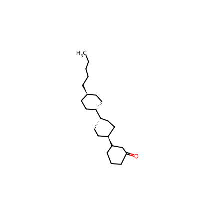 CCCCC[C@H]1CC[C@H]([C@H]2CC[C@H](C3CCCC(=O)C3)CC2)CC1